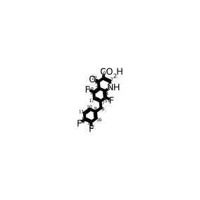 O=C(O)c1c[nH]c2c(F)c(Cc3ccc(F)c(F)c3)cc(F)c2c1=O